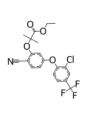 CCOC(=O)C(C)(C)Oc1cc(Oc2ccc(C(F)(F)F)cc2Cl)ccc1C#N